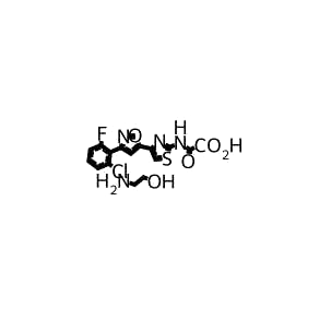 NCCO.O=C(O)C(=O)Nc1nc(-c2cc(-c3c(F)cccc3Cl)no2)cs1